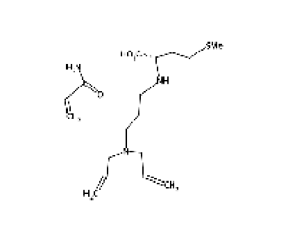 C=CC(N)=O.C=CCN(CC=C)CCCN[C@@H](CCSC)C(=O)O